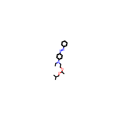 CCN(CCOC(C)OCC(C)C)c1ccc(/N=N/c2ccccc2)cc1